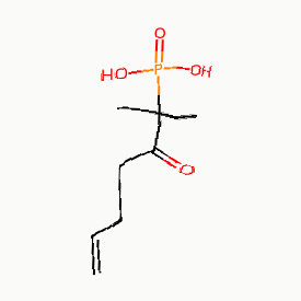 C=CCCC(=O)C(C)(C)P(=O)(O)O